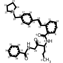 CCCC(NC(=O)c1ccccc1C=Cc1ccc(CN2CCCC2)cc1)C(=O)CNC(=O)c1ccccc1